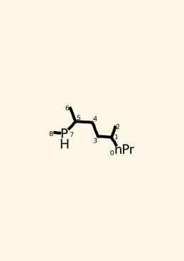 CCCC(C)CCC(C)PC